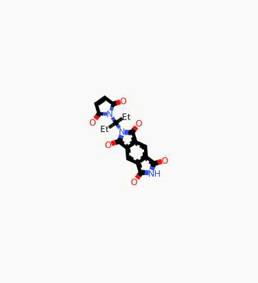 CCC(CC)(N1C(=O)C=CC1=O)n1c(=O)c2cc3c(=O)[nH]c(=O)c3cc2c1=O